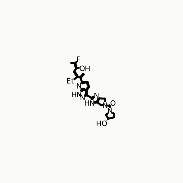 C=C(/C(=C\C(O)=C(/C)F)CC)c1ccc2c(-c3nc4c([nH]3)CN(C(=O)N3CC[C@H](O)C3)C4)n[nH]c2n1